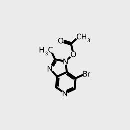 CC(=O)On1c(C)nc2cncc(Br)c21